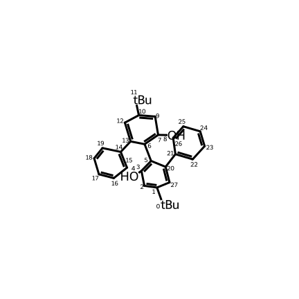 CC(C)(C)c1cc(O)c(-c2c(O)cc(C(C)(C)C)cc2-c2ccccc2)c(-c2ccccc2)c1